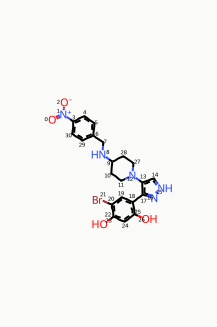 O=[N+]([O-])c1ccc(CNC2CCN(c3c[nH]nc3-c3cc(Br)c(O)cc3O)CC2)cc1